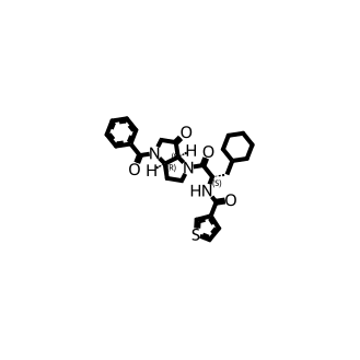 O=C(N[C@@H](CC1CCCCC1)C(=O)N1CC[C@@H]2[C@H]1C(=O)CN2C(=O)c1ccccc1)c1ccsc1